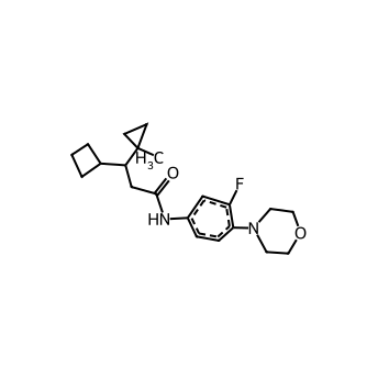 CC1(C(CC(=O)Nc2ccc(N3CCOCC3)c(F)c2)C2CCC2)CC1